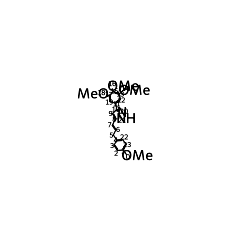 COc1ccc(CC=Cc2cc(-c3cc(OC)c(OC)c(OC)c3)n[nH]2)cc1